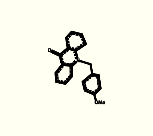 COc1ccc(Cn2c3ccccc3c(=O)c3ccccc32)cc1